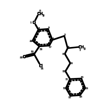 COc1cc(CC(C)CCCc2ccccc2)cc(C(=O)Cl)c1